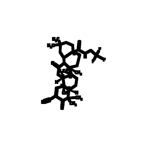 CC1(C)CC[C@]2(C(=O)NCC(F)(F)F)CC[C@]3(C)C(C(=O)C[C@@H]4[C@@]5(C)C=C(C#N)C(=O)C(C)(C)[C@@H]5CC[C@]43C)C2C1